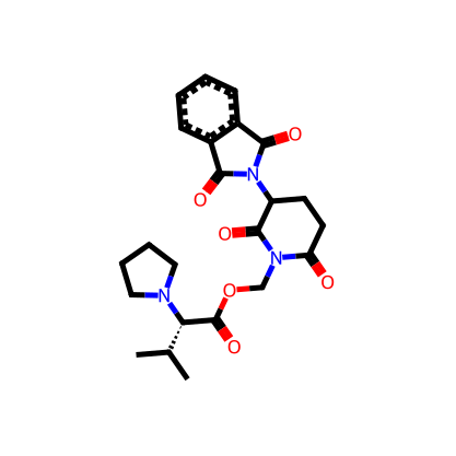 CC(C)[C@@H](C(=O)OCN1C(=O)CCC(N2C(=O)c3ccccc3C2=O)C1=O)N1CCCC1